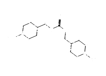 CCCCCCCN1CCC(COC(=O)OCC2CCN(CCCCCCC)CC2)CC1